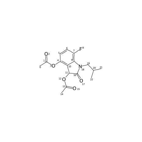 CC(=O)Oc1ccc(F)c2c1C(OC(C)=O)C(=O)N2CC(C)C